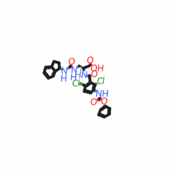 O=C(NC[C@H](NC(=O)c1c(Cl)ccc(NC(=O)Oc2ccccc2)c1Cl)C(=O)O)N[C@@H]1CCc2ccccc21